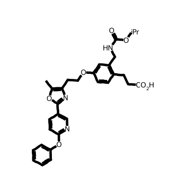 Cc1oc(-c2ccc(Oc3ccccc3)nc2)nc1CCOc1ccc(CCC(=O)O)c(CNC(=O)OC(C)C)c1